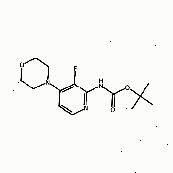 CC(C)(C)OC(=O)Nc1nccc(N2CCOCC2)c1F